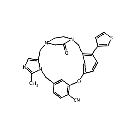 Cc1ncc2n1Cc1ccc(C#N)c(c1)Oc1ccc(-c3ccsc3)c(c1)CN1CCN(CC1=O)C2